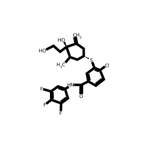 C=C1C[C@H](Sc2cc(C(=O)Nc3cc(F)c(F)c(F)c3)ccc2Cl)CC(C)[C@]1(O)CCO